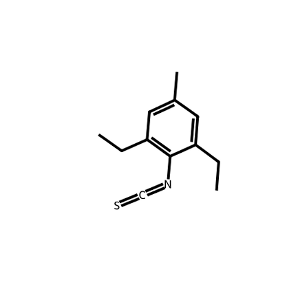 CCc1cc(C)cc(CC)c1N=C=S